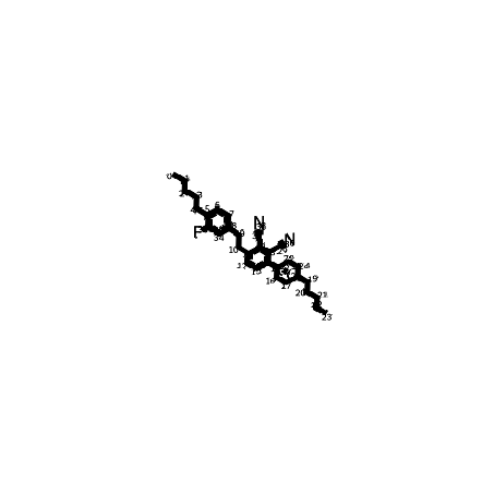 CCCCCc1ccc(CCc2ccc(C34CCC(CCCCC)(CC3)CC4)c(C#N)c2C#N)cc1F